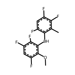 COc1c(F)cc(F)c(F)c1Bc1c(F)cc(F)c(F)c1C